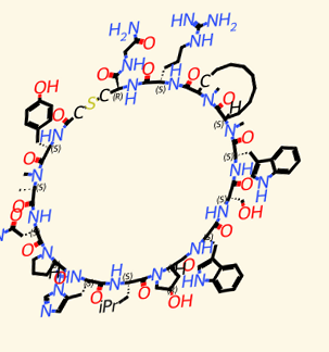 CC(C)C[C@@H]1NC(=O)[C@H](Cc2cnc[nH]2)NC(=O)[C@@H]2CCCN2C(=O)[C@H](CC(N)=O)NC(=O)[C@H](C)N(C)C(=O)[C@H](Cc2ccc(O)cc2)NC(=O)CSC[C@@H](C(=O)NCC(N)=O)NC(=O)[C@H](CCCNC(=N)N)NC(=O)C2CCCCCCCC[C@@H](C(=O)N2C)N(C)C(=O)[C@H](Cc2c[nH]c3ccccc23)NC(=O)[C@H](CO)NC(=O)[C@H](Cc2c[nH]c3ccccc23)NC(=O)[C@@H]2C[C@@H](O)CN2C1=O